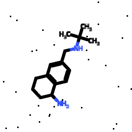 CC(C)(C)NCc1ccc2c(c1)CCCC2N